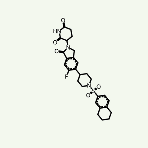 O=C1CCC(N2Cc3cc(C4CCN(S(=O)(=O)c5ccc6c(c5)CCCC6)CC4)c(F)cc3C2=O)C(=O)N1